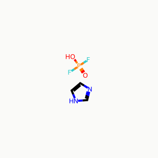 O=P(O)(F)F.c1c[nH]cn1